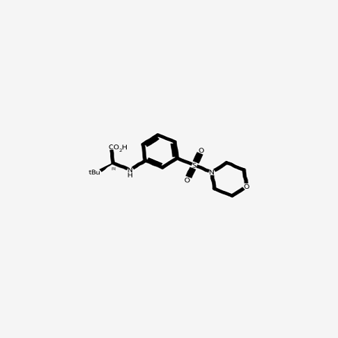 CC(C)(C)[C@H](Nc1cccc(S(=O)(=O)N2CCOCC2)c1)C(=O)O